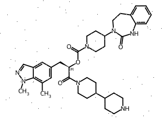 Cc1cc(C[C@@H](OC(=O)N2CCC(N3CCc4ccccc4NC3=O)CC2)C(=O)N2CCC(C3CCNCC3)CC2)cc2cnn(C)c12